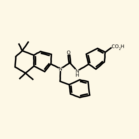 CC1(C)CCC(C)(C)c2cc(N(Cc3ccccc3)C(=O)Nc3ccc(C(=O)O)cc3)ccc21